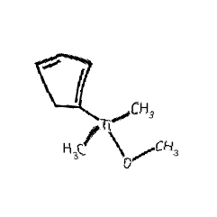 C[O][Ti]([CH3])([CH3])[C]1=CC=CC1